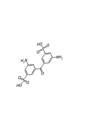 Nc1cc(C(=O)c2cc(N)cc(S(=O)(=O)O)c2)cc(S(=O)(=O)O)c1